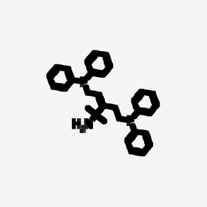 CC(C)(N)C(=CCP(c1ccccc1)c1ccccc1)CCP(c1ccccc1)c1ccccc1